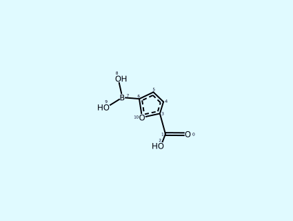 O=C(O)c1ccc(B(O)O)o1